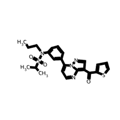 CCCN(c1cccc(-c2ccnc3c(C(=O)c4cccs4)cnn23)c1)S(=O)(=O)C(C)C